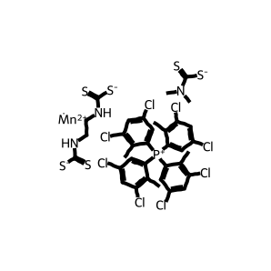 CN(C)C(=S)[S-].Cc1c(Cl)cc(Cl)cc1[P+](c1cc(Cl)cc(Cl)c1C)(c1cc(Cl)cc(Cl)c1C)c1cc(Cl)cc(Cl)c1C.S=C([S-])NCCNC(=S)[S-].[Mn+2]